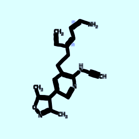 C#CNc1ncc(-c2c(C)noc2C)cc1CC/C(C=C)=C/C=C\N